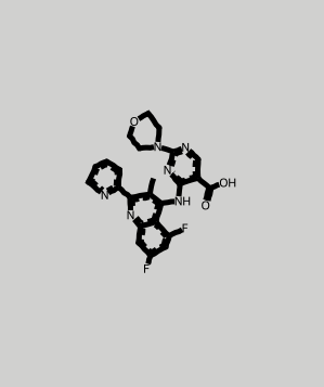 Cc1c(-c2ccccn2)nc2cc(F)cc(F)c2c1Nc1nc(N2CCOCC2)ncc1C(=O)O